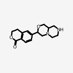 O=C1OCCc2cc(C3CN4CCNCC4CO3)ccc21